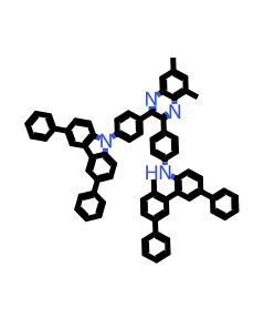 Cc1cc(C)c2nc(-c3ccc(Nc4ccc(-c5ccccc5)cc4-c4cc(-c5ccccc5)ccc4C)cc3)c(-c3ccc(-n4c5ccc(-c6ccccc6)cc5c5cc(-c6ccccc6)ccc54)cc3)nc2c1